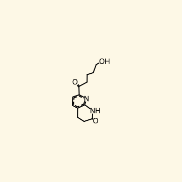 O=C1CCc2ccc(C(=O)CCCCO)nc2N1